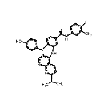 Cc1cc(NC(=O)c2ccc(Sc3ccc(O)cc3)c(Nc3ncnc4nc(C(C)C)ccc34)c2)ccc1F